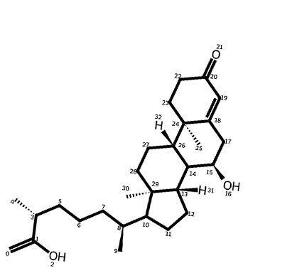 C=C(O)[C@H](C)CCC[C@H](C)C1CC[C@H]2C3[C@H](O)CC4=CC(=O)CC[C@]4(C)[C@H]3CC[C@]12C